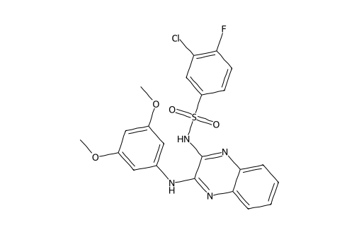 COc1cc(Nc2nc3ccccc3nc2NS(=O)(=O)c2ccc(F)c(Cl)c2)cc(OC)c1